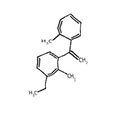 C=C(c1ccccc1C)c1cccc(CC)c1C